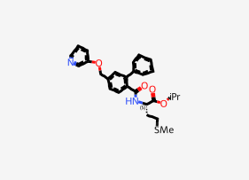 CSCC[C@H](NC(=O)c1ccc(COc2cccnc2)cc1-c1ccccc1)C(=O)OC(C)C